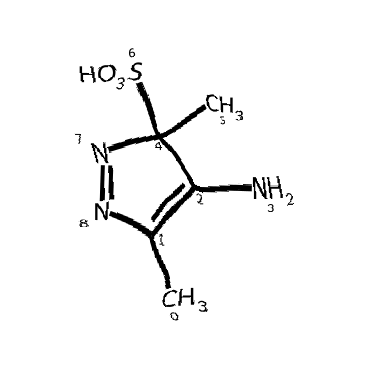 CC1=C(N)C(C)(S(=O)(=O)O)N=N1